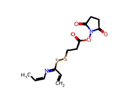 C=C/C(=N\C=C/C)SSCCC(=O)ON1C(=O)CCC1=O